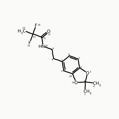 CC1(C)Oc2ccc(CCNC(=O)C(C)(F)F)cc2O1